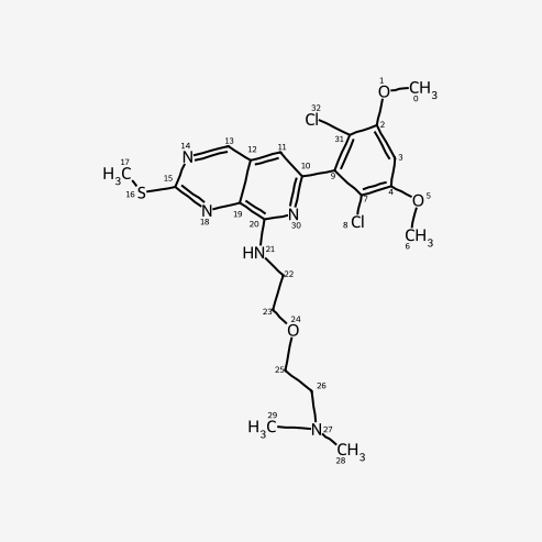 COc1cc(OC)c(Cl)c(-c2cc3cnc(SC)nc3c(NCCOCCN(C)C)n2)c1Cl